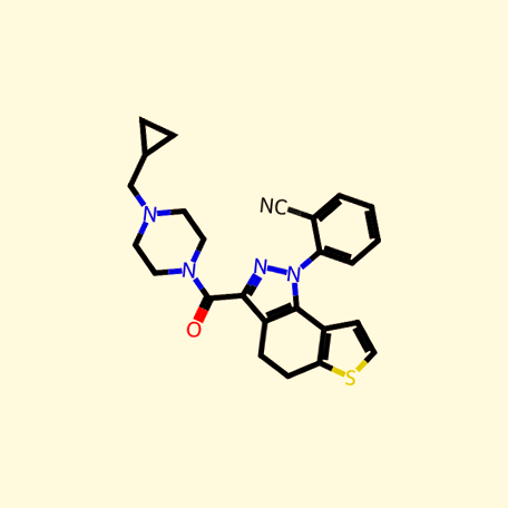 N#Cc1ccccc1-n1nc(C(=O)N2CCN(CC3CC3)CC2)c2c1-c1ccsc1CC2